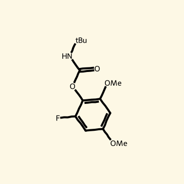 COc1cc(F)c(OC(=O)NC(C)(C)C)c(OC)c1